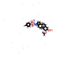 Cc1ccc(S(=O)(=O)NN=C2CC[C@H]3[C@@H]4CCC5CC(O)C(OC(C)C)C[C@]5(C)[C@@H]4CC[C@]23C)cc1